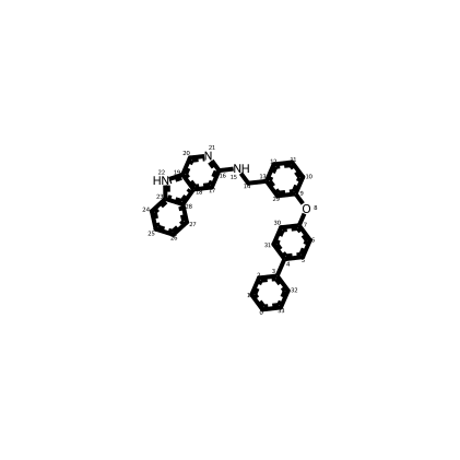 c1ccc(-c2ccc(Oc3cccc(CNc4cc5c(cn4)[nH]c4ccccc45)c3)cc2)cc1